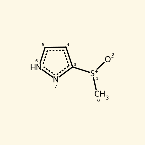 C[S+]([O-])c1cc[nH]n1